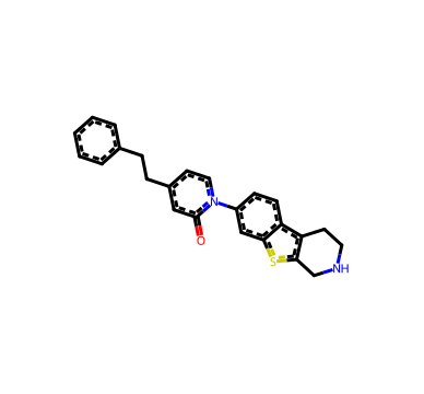 O=c1cc(CCc2ccccc2)ccn1-c1ccc2c3c(sc2c1)CNCC3